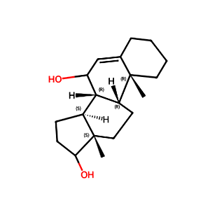 C[C@]12CCCCC1=CC(O)[C@@H]1[C@H]2CC[C@]2(C)C(O)CC[C@@H]12